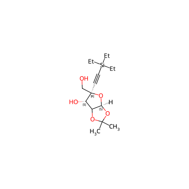 CC[Si](C#C[C@]1(CO)O[C@H]2OC(C)(C)OC2[C@@H]1O)(CC)CC